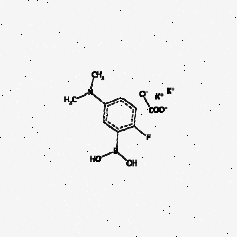 CN(C)c1ccc(F)c(B(O)O)c1.O=C([O-])[O-].[K+].[K+]